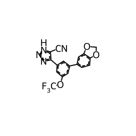 N#Cc1[nH]nnc1-c1cc(OC(F)(F)F)cc(-c2ccc3c(c2)OCO3)c1